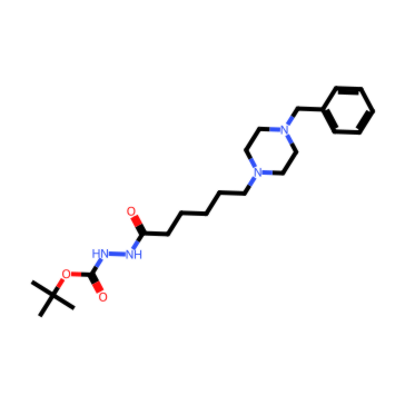 CC(C)(C)OC(=O)NNC(=O)CCCCCN1CCN(Cc2ccccc2)CC1